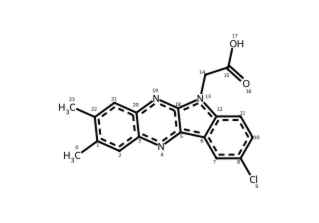 Cc1cc2nc3c4cc(Cl)ccc4n(CC(=O)O)c3nc2cc1C